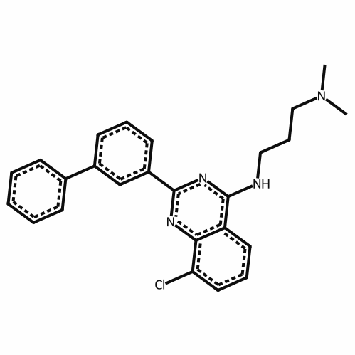 CN(C)CCCNc1nc(-c2cccc(-c3ccccc3)c2)nc2c(Cl)cccc12